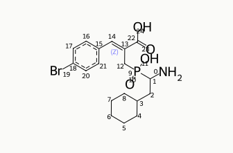 NC(CC1CCCCC1)P(=O)(O)C/C(=C\c1ccc(Br)cc1)C(=O)O